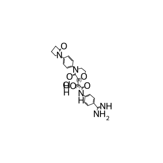 Cl.N=C(N)c1ccc(NC(=O)[C@H](O)[C@H]2OCCN(c3ccc(N4CCCC4=O)cc3)C2=O)cc1